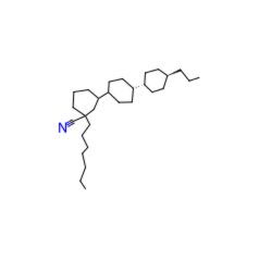 CCCCCCCC1(C#N)CCCC(C2CCC([C@H]3CC[C@H](CCC)CC3)CC2)C1